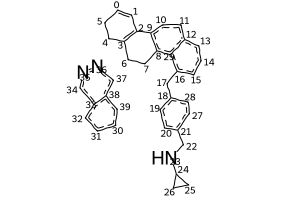 C1=CC2=C(CC1)CCc1c2ccc2cccc(Cc3ccc(CNC4CC4)cc3)c12.c1ccc2cnncc2c1